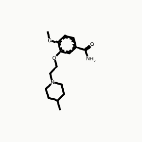 COc1ccc(C(N)=O)cc1OCCN1CCC(C)CC1